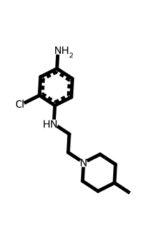 CC1CCN(CCNc2ccc(N)cc2Cl)CC1